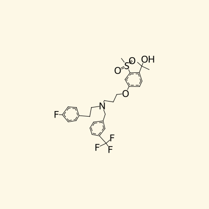 CC(C)(O)c1ccc(OCCCN(CCc2ccc(F)cc2)Cc2cccc(C(F)(F)F)c2)cc1S(C)(=O)=O